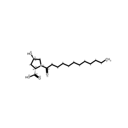 CCCCCCCCCCCC(=O)N1C[C@H](O)C[C@H]1C(=O)O